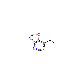 CC(C)c1ccnc2ncoc12